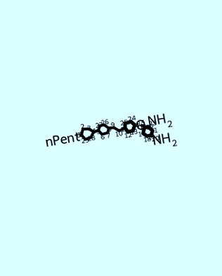 CCCCCC1CCC(C2CCC(CCc3ccc(Oc4ccc(N)cc4N)cc3)CC2)CC1